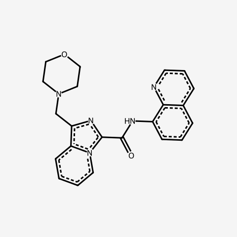 O=C(Nc1cccc2cccnc12)c1nc(CN2CCOCC2)c2ccccn12